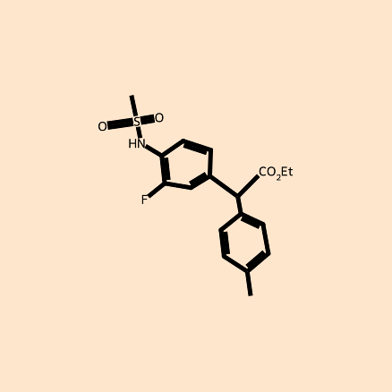 CCOC(=O)C(c1ccc(C)cc1)c1ccc(NS(C)(=O)=O)c(F)c1